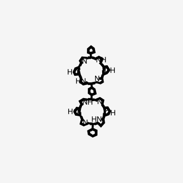 Oc1c2cccc1c1ccc([nH]1)c(-c1ccccc1)c1nc(c3cccc(c3O)c3ccc([nH]3)c(-c3ccc(-c4c5nc(c6cccc(c6O)c6ccc([nH]6)c(-c6ccccc6)c6nc(c7cccc(c7O)c7ccc4[nH]7)C=C6)C=C5)cc3)c3nc2C=C3)C=C1